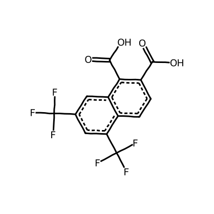 O=C(O)c1ccc2c(C(F)(F)F)cc(C(F)(F)F)cc2c1C(=O)O